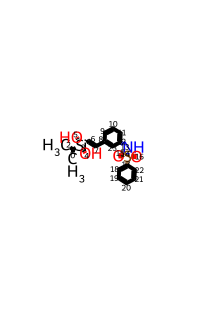 CC(C)[Si](O)(O)C=Cc1cccc(NS(=O)(=O)c2ccccc2)c1